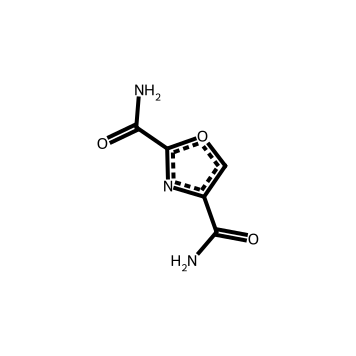 NC(=O)c1coc(C(N)=O)n1